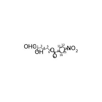 O=C[C@@H](O)CCCCOC(=O)c1ccc([N+](=O)[O-])cc1